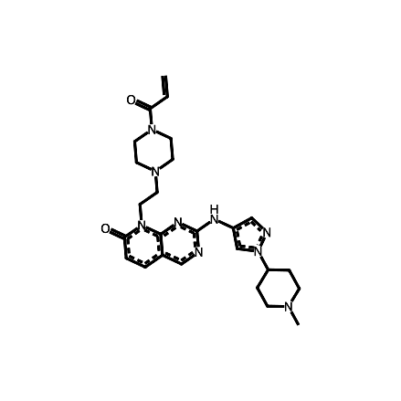 C=CC(=O)N1CCN(CCn2c(=O)ccc3cnc(Nc4cnn(C5CCN(C)CC5)c4)nc32)CC1